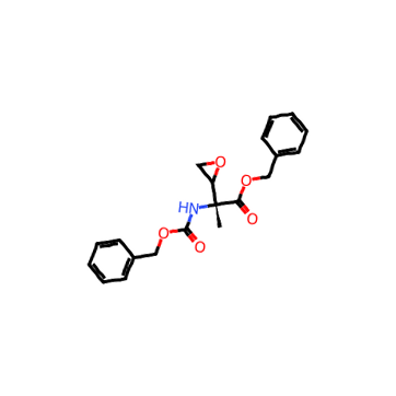 C[C@](NC(=O)OCc1ccccc1)(C(=O)OCc1ccccc1)C1CO1